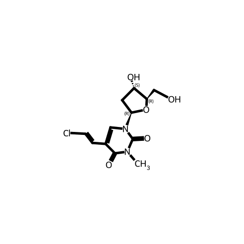 Cn1c(=O)c(C=CCl)cn([C@H]2C[C@H](O)[C@@H](CO)O2)c1=O